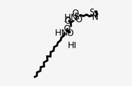 CCCCCCCCCCCCCCCCCCNC(=O)OCC(CNS(=O)(=O)CCCCc1nccs1)OC.I